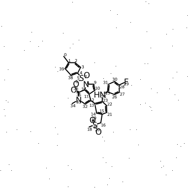 Cc1ccc(S(=O)(=O)n2ccc3c(-c4cc(CS(C)(=O)=O)ccc4Nc4ccc(F)cc4)cn(C)c(=O)c32)cc1